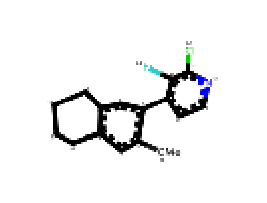 COc1cc2c(cc1-c1ccnc(Cl)c1F)CCCC2